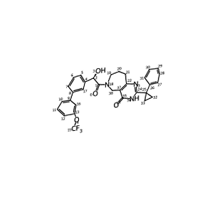 O=C([C@H](O)c1cccc(-c2cccc(OC(F)(F)F)c2)c1)N1CCCc2nc(C3(c4ccccc4)CC3)[nH]c(=O)c2C1